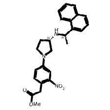 COC(=O)Cc1ccc(N2CC[C@H](N[C@H](C)c3cccc4ccccc34)C2)cc1[N+](=O)[O-]